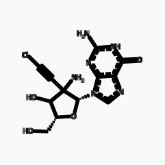 Nc1nc2c(ncn2[C@@H]2O[C@H](CO)C(O)C2(N)C#CCl)c(=O)[nH]1